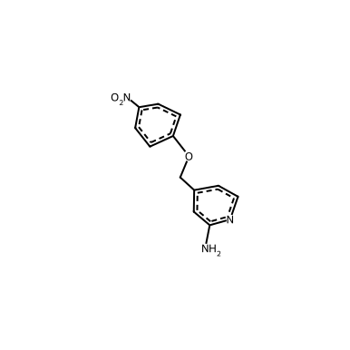 Nc1cc(COc2ccc([N+](=O)[O-])cc2)ccn1